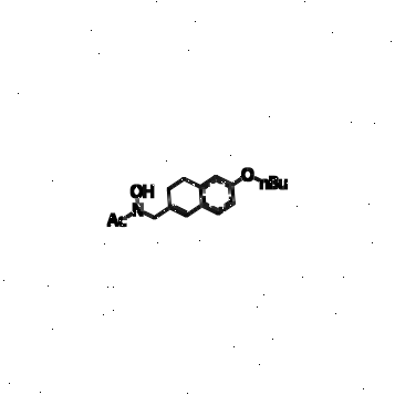 CCCCOc1ccc2c(c1)CCC(CN(O)C(C)=O)=C2